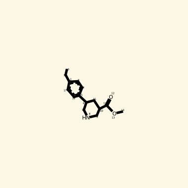 CCc1ccc(C2CNCC(C(=O)OC)C2)cc1